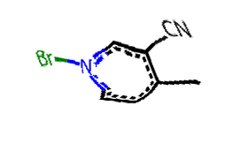 Cc1cc[n+](Br)cc1C#N